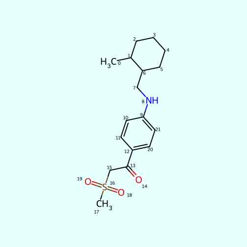 CC1CCCCC1CNc1ccc(C(=O)CS(C)(=O)=O)cc1